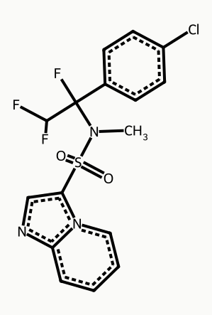 CN(C(F)(c1ccc(Cl)cc1)C(F)F)S(=O)(=O)c1cnc2ccccn12